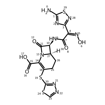 Nc1nc(/C(=N/O)C(=O)N[C@@H]2C(=O)N3C(C(=O)O)=C(Sc4nncs4)CC[C@H]23)ns1